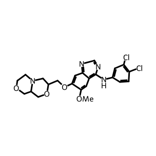 COc1cc2c(Nc3ccc(Cl)c(Cl)c3)ncnc2cc1OCC1CN2CCOCC2CO1